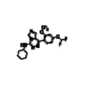 FC(F)Oc1ccc(-c2nnc(NC3CCCCC3)n3cncc23)c(OC(F)(F)F)c1